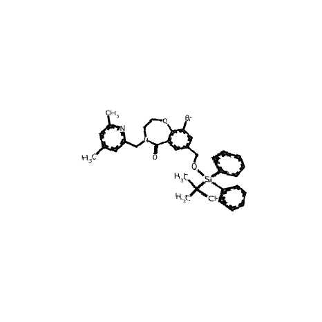 Cc1cc(C)nc(CN2CCOc3c(Br)cc(CO[Si](c4ccccc4)(c4ccccc4)C(C)(C)C)cc3C2=O)c1